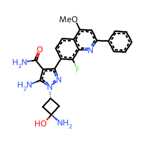 COc1cc(-c2ccccc2)nc2c(F)c(-c3nn([C@H]4C[C@@](N)(O)C4)c(N)c3C(N)=O)ccc12